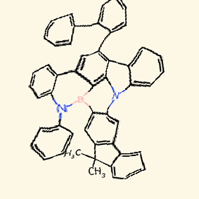 CC1(C)c2ccccc2-c2cc3c(cc21)B1c2c(cc(-c4ccccc4-c4ccccc4)c4c5ccccc5n-3c24)-c2ccccc2N1c1ccccc1